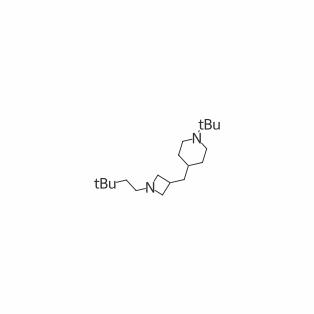 CC(C)(C)CCN1CC(CC2CCN(C(C)(C)C)CC2)C1